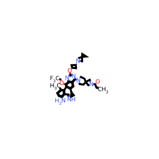 C=CC(=O)N1CC2(CCN(c3nc(O[C@H]4C[C@@H](N5CC6(CC6)C5)C4)nc4c(OCC(F)(F)F)c(-c5c(C)ccc(N)c5C=N)c(C5CC5)cc34)CC2)C1